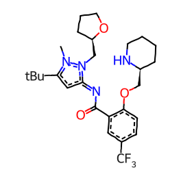 Cn1c(C(C)(C)C)c/c(=N\C(=O)c2cc(C(F)(F)F)ccc2OC[C@@H]2CCCCN2)n1C[C@H]1CCCO1